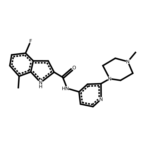 Cc1ccc(F)c2cc(C(=O)Nc3ccnc(N4CCN(C)CC4)c3)[nH]c12